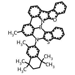 Cc1cc2c3c(c1)N(c1cc4c(cc1C)C(C)(C)CCC4(C)C)c1sc4ccccc4c1B3n1c3oc4ccccc4c3c3cccc-2c31